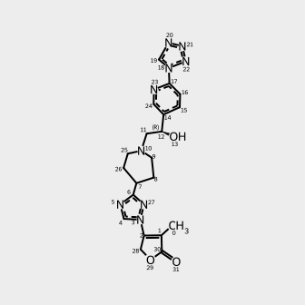 CC1=C(n2cnc(C3CCN(C[C@H](O)c4ccc(-n5cnnn5)nc4)CC3)n2)COC1=O